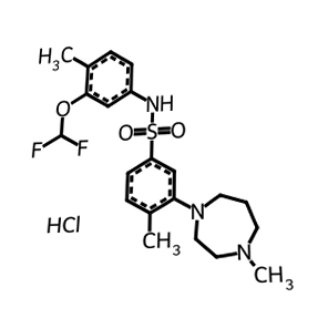 Cc1ccc(NS(=O)(=O)c2ccc(C)c(N3CCCN(C)CC3)c2)cc1OC(F)F.Cl